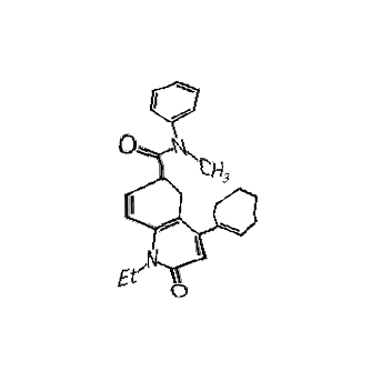 CCn1c2c(c(C3=CCCCC3)cc1=O)CC(C(=O)N(C)c1ccccc1)C=C2